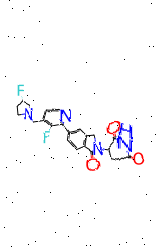 O=C1CCC(N2Cc3cc(-c4nccc(CN5CC[C@H](F)C5)c4F)ccc3C2=O)C(=O)N1